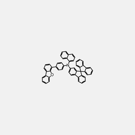 c1ccc2c(c1)-c1ccccc1C21c2ccccc2-c2ccc(N(c3ccc(-c4cccc5c4oc4ccccc45)cc3)c3cccc4ccccc34)cc21